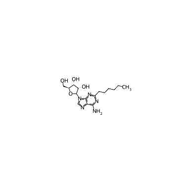 CCCCCCc1nc(N)c2ncn(C3O[C@@H](CO)[C@H](O)[C@@H]3O)c2n1